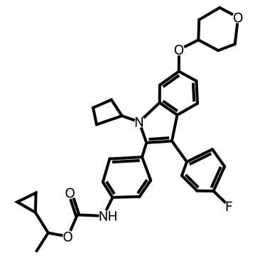 CC(OC(=O)Nc1ccc(-c2c(-c3ccc(F)cc3)c3ccc(OC4CCOCC4)cc3n2C2CCC2)cc1)C1CC1